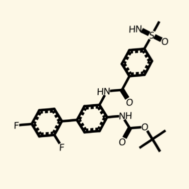 CC(C)(C)OC(=O)Nc1ccc(-c2ccc(F)cc2F)cc1NC(=O)c1ccc(S(C)(=N)=O)cc1